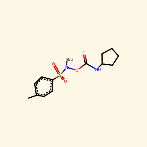 CCCCN(OC(=O)NC1CCCC1)S(=O)(=O)c1ccc(C)cc1